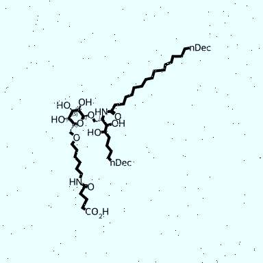 CCCCCCCCCCCCCCCCCCCCCCCCCC(=O)N[C@@H](CO[C@H]1O[C@H](COCCCCCCNC(=O)CCCC(=O)O)[C@H](O)[C@H](O)[C@H]1O)C(O)C(O)CCCCCCCCCCCCCC